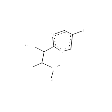 CCc1cnc(C(OC)C(C)[S+](N)[O-])nc1